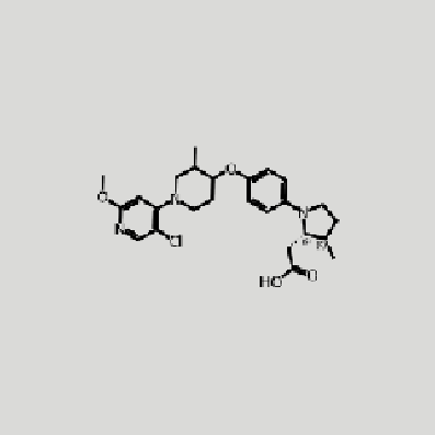 COc1cc(N2CCC(Oc3ccc(N4CC[C@@H](C)[C@@H]4CC(=O)O)cc3)C(C)C2)c(Cl)cn1